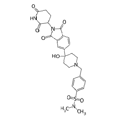 CN(C)S(=O)(=O)c1ccc(CN2CCC(O)(c3ccc4c(c3)C(=O)N(C3CCC(=O)NC3=O)C4=O)CC2)cc1